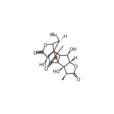 C[C@@H]1C(=O)O[C@H]2[C@H](O)C34C5OC(=O)C3(O[C@H](O)C43[C@@H](O)C(=O)OC5[C@H]3C(C)(C)C)[C@@]12O